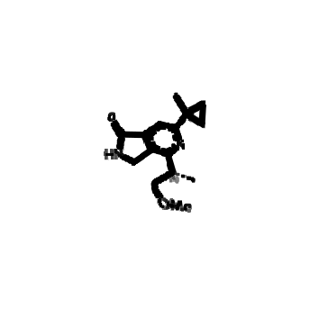 COC[C@@H](C)c1nc(C2(C)CC2)cc2c1CNC2=O